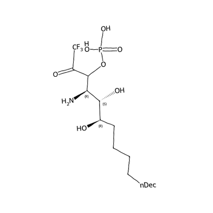 CCCCCCCCCCCCCC[C@@H](O)[C@@H](O)[C@@H](N)C(OP(=O)(O)O)C(=O)C(F)(F)F